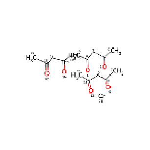 CC(=O)CC(C)=O.CC(=O)CC(C)=O.CC(=O)CC(C)=O.[Cr]